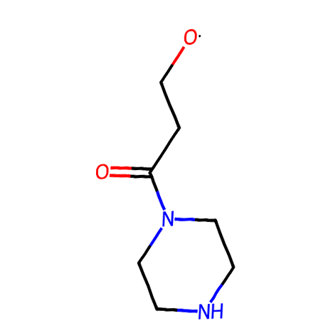 [O]CCC(=O)N1CCNCC1